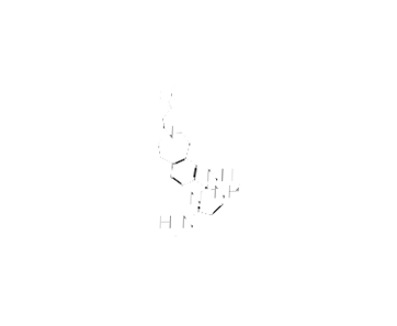 COCCN1CCc2ccc(C3(N)N=C(N)C=CN3)cc2CC1